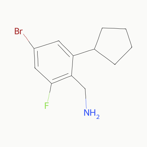 NCc1c(F)cc(Br)cc1C1CCCC1